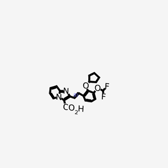 O=C(O)c1c(/C=C/c2cccc(OC(F)F)c2OC2CCCC2)nc2ccccn12